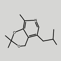 Cc1ncc(CC(C)C)c2c1OC(C)(C)OC2